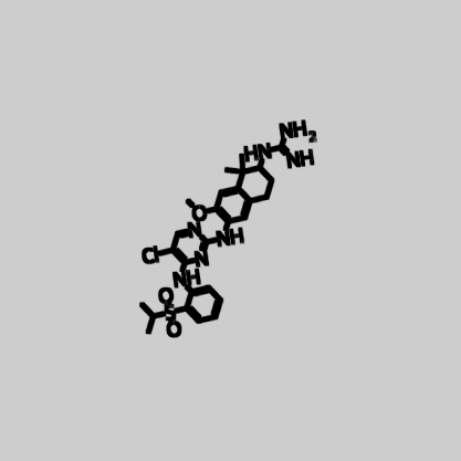 COc1cc2c(cc1Nc1ncc(Cl)c(Nc3ccccc3S(=O)(=O)C(C)C)n1)CCC(NC(=N)N)C2(C)C